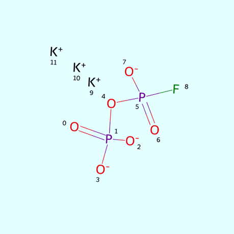 O=P([O-])([O-])OP(=O)([O-])F.[K+].[K+].[K+]